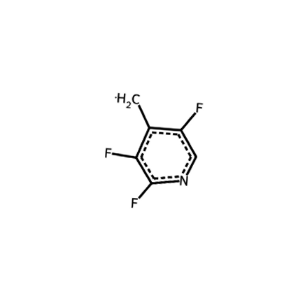 [CH2]c1c(F)cnc(F)c1F